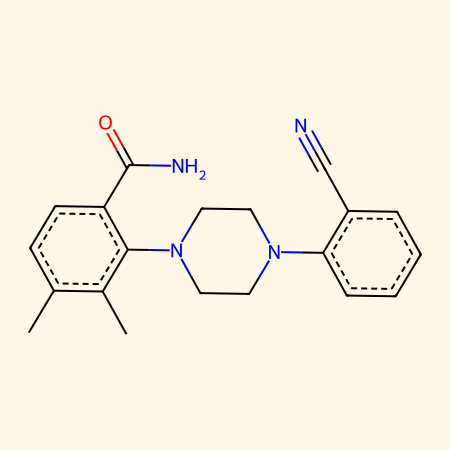 Cc1ccc(C(N)=O)c(N2CCN(c3ccccc3C#N)CC2)c1C